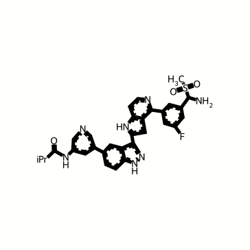 CC(C)C(=O)Nc1cncc(-c2ccc3[nH]nc(-c4cc5c(-c6cc(F)cc(C(N)S(C)(=O)=O)c6)nccc5[nH]4)c3c2)c1